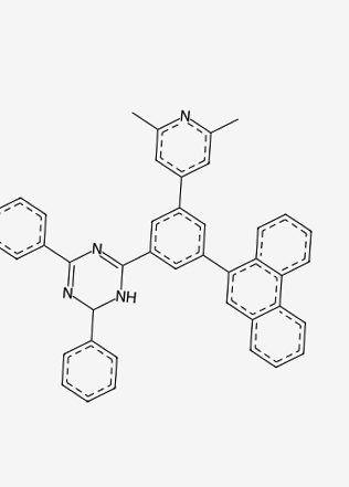 Cc1cc(-c2cc(C3=NC(c4ccccc4)=NC(c4ccccc4)N3)cc(-c3cc4ccccc4c4ccccc34)c2)cc(C)n1